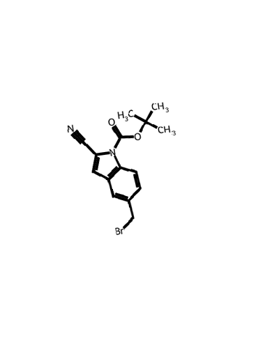 CC(C)(C)OC(=O)n1c(C#N)cc2cc(CBr)ccc21